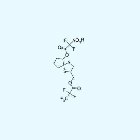 O=C(OCC1CSC2(CCCC2OC(=O)C(F)(F)S(=O)(=O)O)S1)C(F)(F)C(F)(F)F